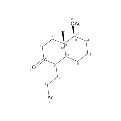 CC(=O)CCC1C(=O)CC[C@@]2(C)C1CCC[C@@H]2OC(C)=O